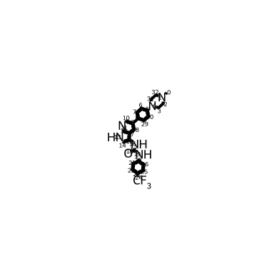 CN1CCN(c2ccc(-c3cnc4[nH]cc(NC(=O)Nc5ccc(C(F)(F)F)cc5)c4c3)cc2)CC1